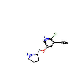 C#Cc1cc(OC[C@@H]2CCCN2)cnc1Cl